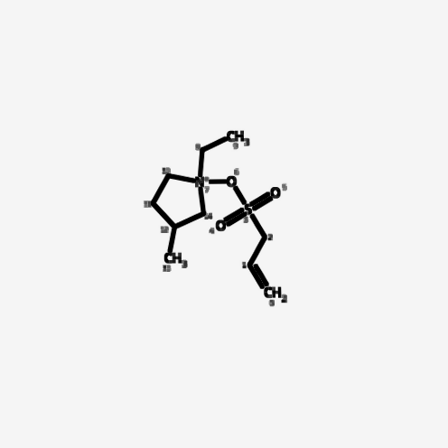 C=CCS(=O)(=O)O[N+]1(CC)CCC(C)C1